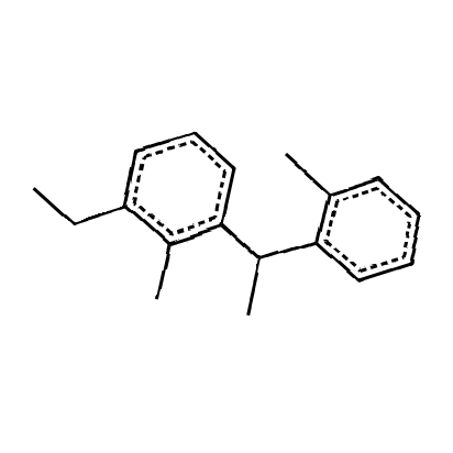 CCc1cccc(C(C)c2ccccc2C)c1C